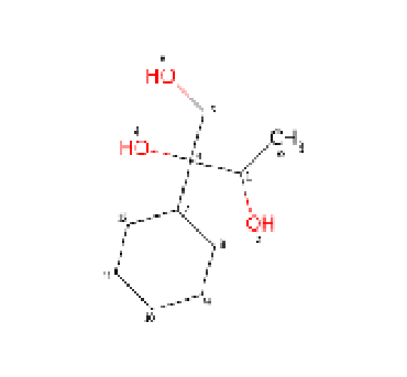 CC(O)C(O)(CO)C1CCCCC1